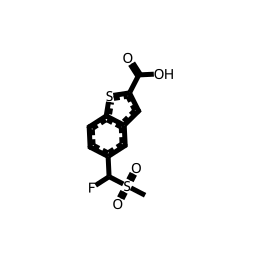 CS(=O)(=O)C(F)c1ccc2sc(C(=O)O)cc2c1